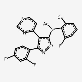 CC(=O)N(c1onc(-c2ccc(F)cc2F)c1-c1ccncn1)c1c(F)cccc1Cl